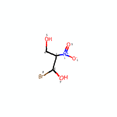 O=[N+]([O-])C(CO)C(O)Br